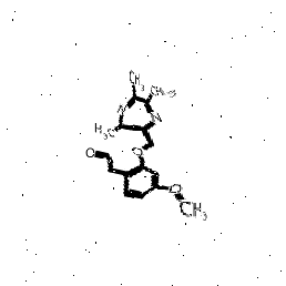 COc1ccc(CC=O)c(OCc2nc(C)c(C)nc2C)c1